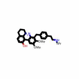 CCCNCCc1ccc(Cc2c(N)c(-c3c(O)ccc4c3CCCC4)cc(OC)c2OC)cc1